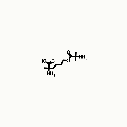 CC(C)(N)C(=O)OCCCCC(C)(N)C(=O)O